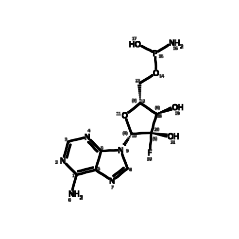 Nc1ncnc2c1ncn2[C@@H]1O[C@H](COP(N)O)[C@@H](O)[C@]1(O)F